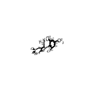 Nc1c(C[SH](=O)=O)c(Br)nn1-c1c(Cl)cc(C(F)(F)F)cc1Cl